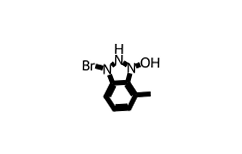 Cc1cccc2c1N(O)NN2Br